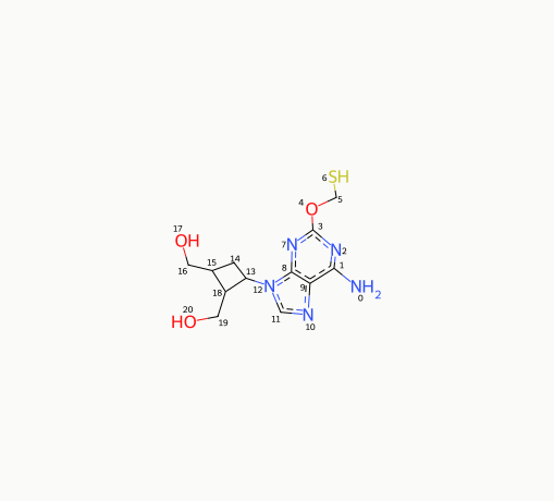 Nc1nc(OCS)nc2c1ncn2C1CC(CO)C1CO